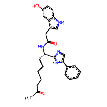 CC(=O)CCCCC[C@H](NC(=O)Cc1c[nH]c2ccc(O)cc12)c1ncc(-c2ccccc2)[nH]1